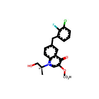 C[C@@H](CO)n1cc(OC(=O)O)c(=O)c2cc(Cc3cccc(Cl)c3F)ccc21